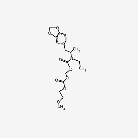 CCN(C(=O)OCOC(=O)OCCOC)C(C)Cc1ccc2c(c1)OCO2